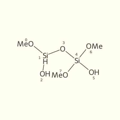 CO[SiH](O)O[Si](O)(OC)OC